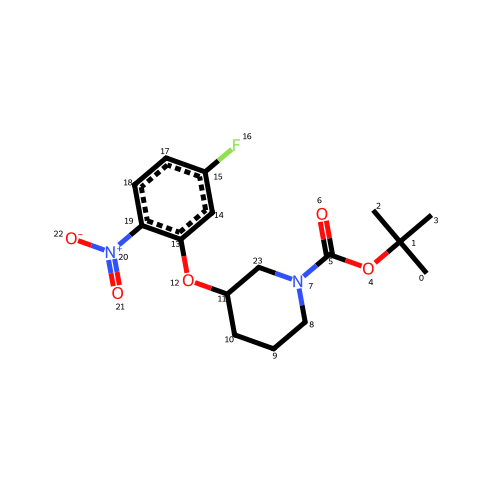 CC(C)(C)OC(=O)N1CCCC(Oc2cc(F)ccc2[N+](=O)[O-])C1